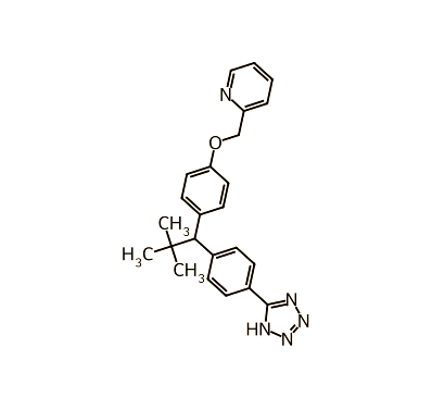 CC(C)(C)C(c1ccc(OCc2ccccn2)cc1)c1ccc(-c2nnn[nH]2)cc1